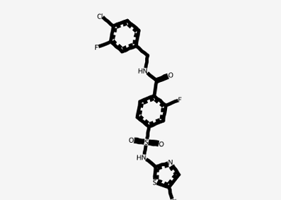 O=C(NCc1ccc(Cl)c(F)c1)c1ccc(S(=O)(=O)Nc2ncc(Cl)s2)cc1F